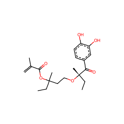 C=C(C)C(=O)OC(C)(CC)CCO[C@@](C)(CC)C(=O)c1ccc(O)c(O)c1